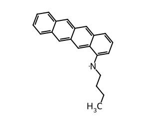 CCCC[N]c1cccc2cc3cc4ccccc4cc3cc12